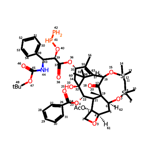 CC(=O)O[C@@]12CO[C@@H]1C[C@@H]1O[Si](C)(C)C[Si](C)(C)O[C@H]3C(=O)[C@@]1(C)C2[C@H](OC(=O)c1ccccc1)[C@]1(O)C[C@H](OC(=O)[C@H](OPP)[C@@H](NC(=O)OC(C)(C)C)c2ccccc2)C(C)=C3C1(C)C